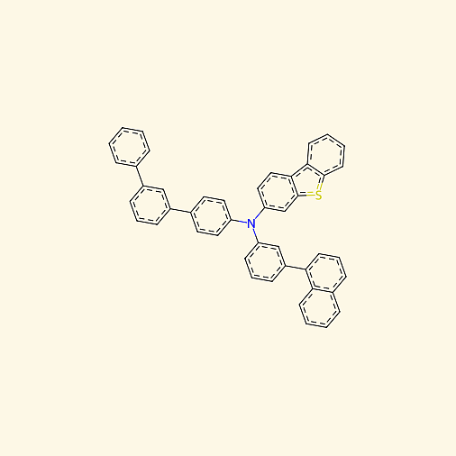 c1ccc(-c2cccc(-c3ccc(N(c4cccc(-c5cccc6ccccc56)c4)c4ccc5c(c4)sc4ccccc45)cc3)c2)cc1